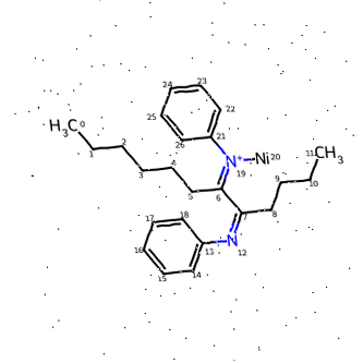 CCCCCCC(C(CCCC)=Nc1ccccc1)=[N+]([Ni])c1ccccc1